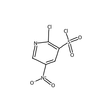 O=[N+]([O-])c1cnc(Cl)c(S(=O)(=O)Cl)c1